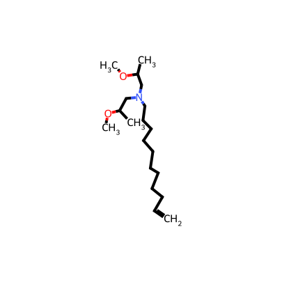 C=CCCCCCCCCCN(CC(C)OC)CC(C)OC